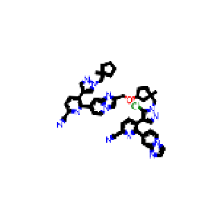 CC1(Cn2cc(-c3ccc(C#N)nc3-c3ccn4cc(COC5CCC(C)(Cn6ncc(-c7ccc(C#N)nc7-c7ccn8ccnc8c7)c6Cl)C5)nc4c3)cn2)CCCC1